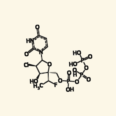 CC(F)[C@]1(COP(=O)(O)OP(=O)(O)OP(=O)(O)O)OC(n2ccc(=O)[nH]c2=O)[C@H](Cl)[C@@H]1O